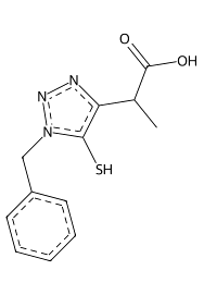 CC(C(=O)O)c1nnn(Cc2ccccc2)c1S